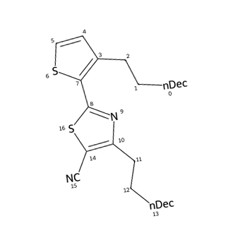 CCCCCCCCCCCCc1ccsc1-c1nc(CCCCCCCCCCCC)c(C#N)s1